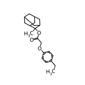 CCc1ccc(OCC(=O)OC2(C)C3CC4CC(C3)CC2C4)cc1